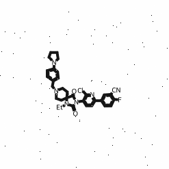 CCN1C(=O)N(c2ccc(-c3ccc(F)c(C#N)c3)nc2Cl)C(=O)C12CCN(Cc1ccc(N3CCCC3)cc1)CC2